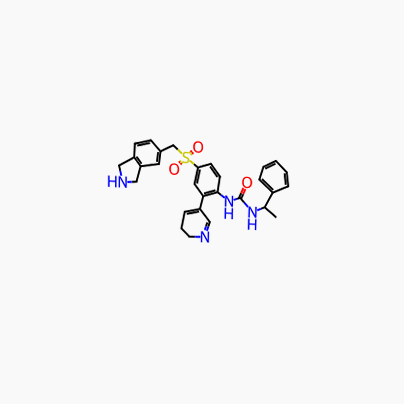 CC(NC(=O)Nc1ccc(S(=O)(=O)Cc2ccc3c(c2)CNC3)cc1C1=CCCN=C1)c1ccccc1